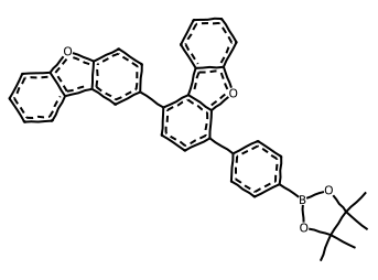 CC1(C)OB(c2ccc(-c3ccc(-c4ccc5oc6ccccc6c5c4)c4c3oc3ccccc34)cc2)OC1(C)C